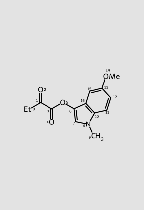 CCC(=O)C(=O)Oc1cn(C)c2ccc(OC)cc12